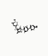 Cc1nn(-c2ccc(-c3ccc(F)cc3)cc2)c(C)c1CN1CCN(C)CC1